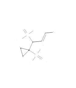 NC=CC(C1(P(=O)(O)O)CC1)P(=O)(O)O